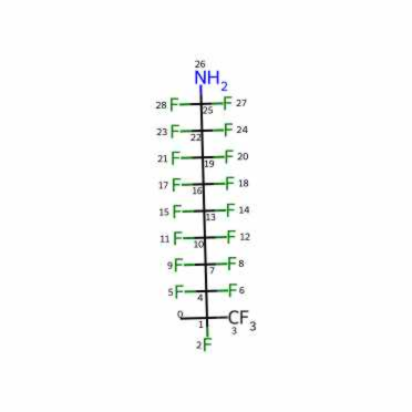 CC(F)(C(F)(F)F)C(F)(F)C(F)(F)C(F)(F)C(F)(F)C(F)(F)C(F)(F)C(F)(F)C(N)(F)F